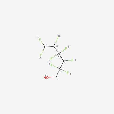 OCC(F)(F)C(F)C(F)(F)C(F)C(F)F